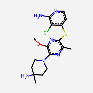 COc1nc(Sc2ccnc(N)c2Cl)c(C)nc1N1CCC(C)(N)CC1